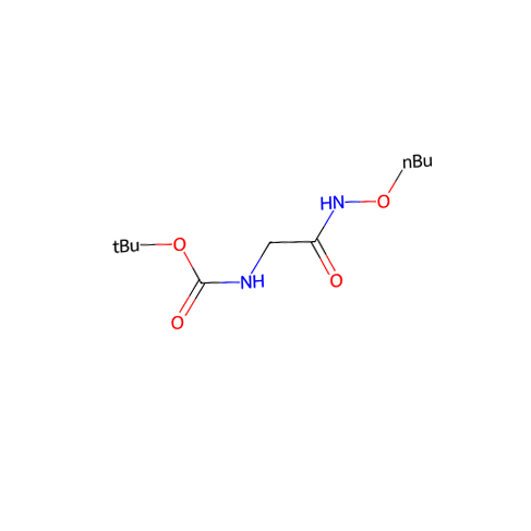 CCCCONC(=O)CNC(=O)OC(C)(C)C